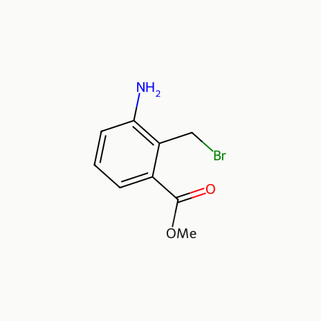 COC(=O)c1cccc(N)c1CBr